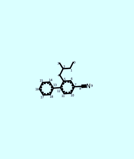 CCC(C)Cc1cc(C#N)ccc1-c1ccccc1